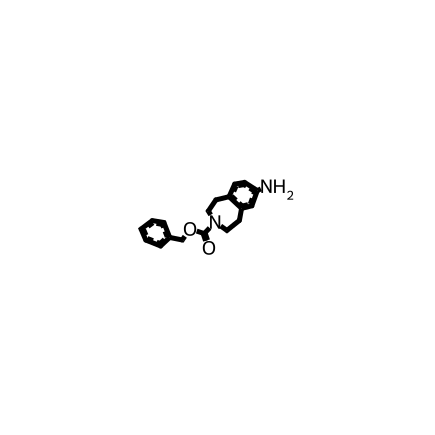 Nc1ccc2c(c1)CCN(C(=O)OCc1ccccc1)CC2